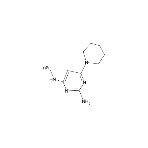 CCCNc1cc(N2CCCCC2)nc(N)n1